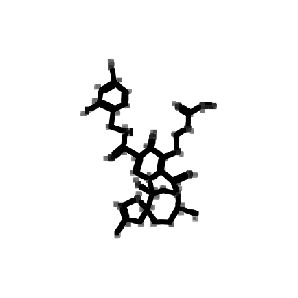 COC(=O)OCOc1c2n(cc(C(=O)NCc3ccc(F)cc3F)c1=O)[C@@H]1CN(C2=O)[C@@H](C)CC[C@]12CC(C)=NO2